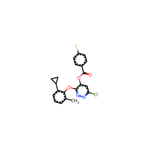 Cc1cccc(C2CC2)c1Oc1nnc(Cl)cc1OC(=O)c1ccc(F)cc1